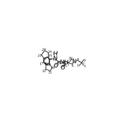 CC(C)(C)CN1CC([S+]([O-])NC(=O)Nc2c3c(cc4c2CCC4)CCC3)C1